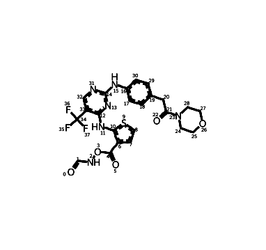 O=CNOC(=O)c1ccsc1Nc1nc(Nc2ccc(CC(=O)N3CCOCC3)cc2)ncc1C(F)(F)F